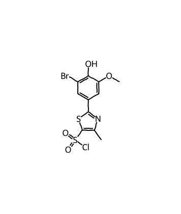 COc1cc(-c2nc(C)c(S(=O)(=O)Cl)s2)cc(Br)c1O